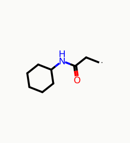 [CH2]CC(=O)NC1CCCCC1